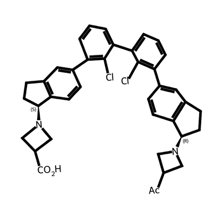 CC(=O)C1CN([C@@H]2CCc3cc(-c4cccc(-c5cccc(-c6ccc7c(c6)CC[C@@H]7N6CC(C(=O)O)C6)c5Cl)c4Cl)ccc32)C1